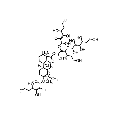 CC1(C)C[C@@]23CCC4[C@](C)(C(=O)OC(O)/C(OC(O)/C(O)=C(\O)C(O)CCO)=C(/OC(O)/C(O)=C(\O)C(O)CCO)C(O)CCO)CCC[C@@]4(C)[C@@H]2CC[C@]1(OC(O)/C(O)=C(/O)C(O)CCO)C3